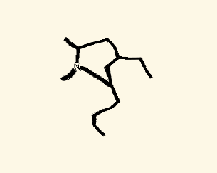 CCCC1C(CC)CC(C)N1C